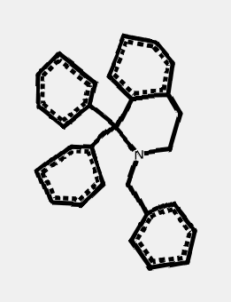 c1ccc(CN2CCc3ccccc3C2(c2ccccc2)c2ccccc2)cc1